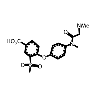 CNCC(=O)N(C)c1ccc(Oc2ccc(C(=O)O)cc2S(C)(=O)=O)cc1